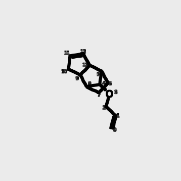 C=CCOC1C2CCC1C1CC=CC12